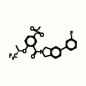 C[C@H](Oc1ccc(S(C)(=O)=O)cc1C(=O)N1Cc2ccc(-c3cccc(F)c3)cc2C1)C(F)(F)F